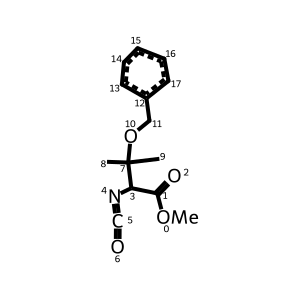 COC(=O)C(N=C=O)C(C)(C)OCc1ccccc1